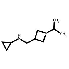 CC(C)N1CC(CNC2CC2)C1